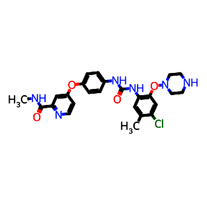 CNC(=O)c1cc(Oc2ccc(NC(=O)Nc3cc(C)c(Cl)cc3ON3CCNCC3)cc2)ccn1